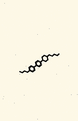 CCCCCC1CCC(c2ccc(-c3ccc(CCCC)cc3)cc2)CC1